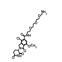 COc1cc(C(=O)NCCOCCOCCOCN)c(Cl)c2c1C(=O)N(C1CCC(=O)NC1=O)C2